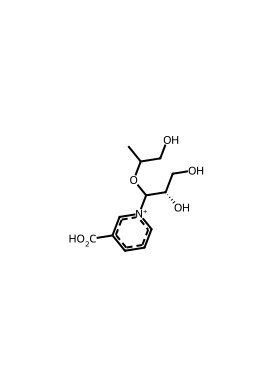 CC(CO)OC([C@@H](O)CO)[n+]1cccc(C(=O)O)c1